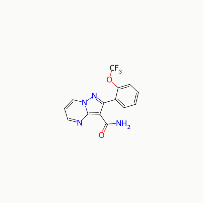 NC(=O)c1c(-c2ccccc2OC(F)(F)F)nn2cccnc12